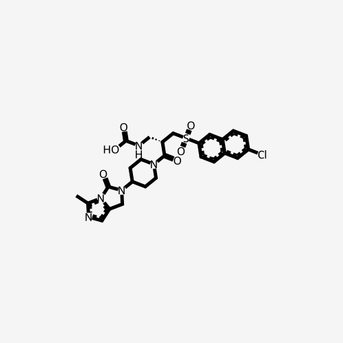 Cc1ncc2n1C(=O)N(C1CCN(C(=O)[C@H](CNC(=O)O)CS(=O)(=O)c3ccc4cc(Cl)ccc4c3)CC1)C2